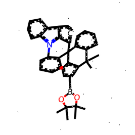 CC1(C)c2ccccc2C2(c3ccccc3-n3c4ccccc4c4cccc2c43)c2ccc(B3OC(C)(C)C(C)(C)O3)cc21